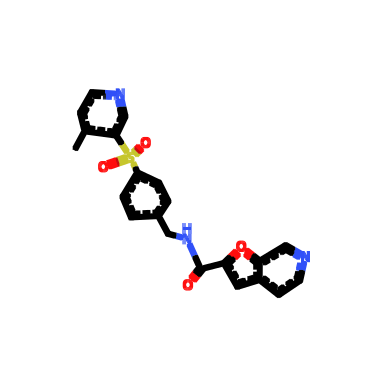 Cc1ccncc1S(=O)(=O)c1ccc(CNC(=O)c2cc3ccncc3o2)cc1